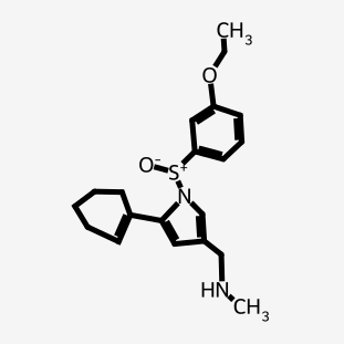 CCOc1cccc([S+]([O-])n2cc(CNC)cc2C2=CCCCC2)c1